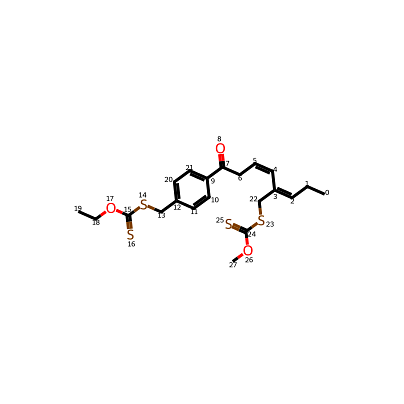 CC/C=C(\C=C/CC(=O)c1ccc(CSC(=S)OCC)cc1)CSC(=S)OC